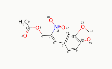 CC(=O)OCC(=Cc1ccc2c(c1)OCO2)[N+](=O)[O-]